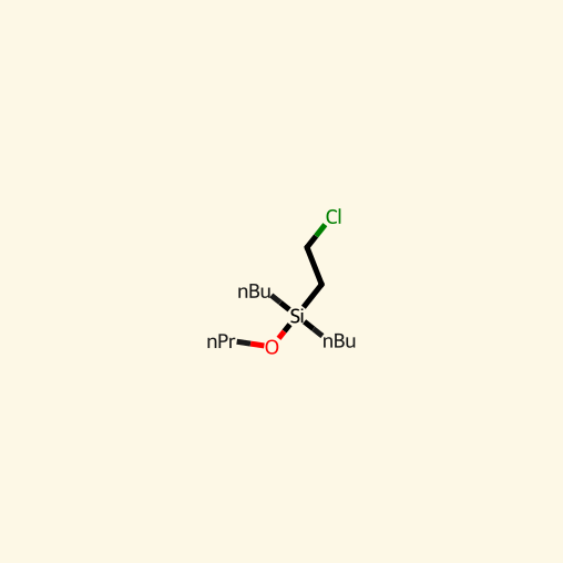 CCCC[Si](CCCl)(CCCC)OCCC